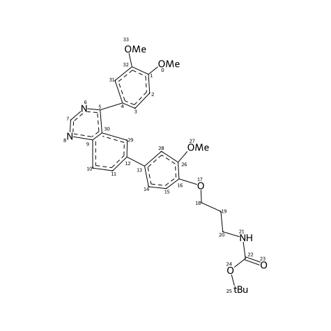 COc1ccc(-c2ncnc3ccc(-c4ccc(OCCCNC(=O)OC(C)(C)C)c(OC)c4)cc23)cc1OC